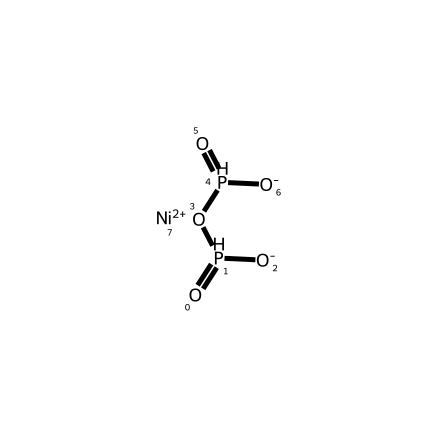 O=[PH]([O-])O[PH](=O)[O-].[Ni+2]